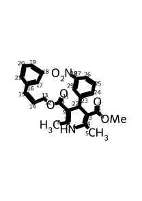 COC(=O)C1=C(C)NC(C)=C(C(=O)OC/C=C\c2ccccc2)C1c1cccc([N+](=O)[O-])c1